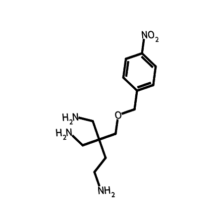 NCCC(CN)(CN)COCc1ccc([N+](=O)[O-])cc1